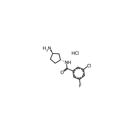 Cl.N[C@@H]1CC[C@@H](NC(=O)c2cc(F)cc(Cl)c2)C1